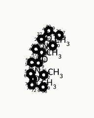 Cc1cc(C)cc(N(c2cc3oc4cc(N(c5cc(C)ccc5C)c5cccc6c5oc5c(-c7ccccc7)cccc56)c5ccccc5c4c3c3ccccc23)c2cccc3c2oc2c(-c4ccccc4)cccc23)c1